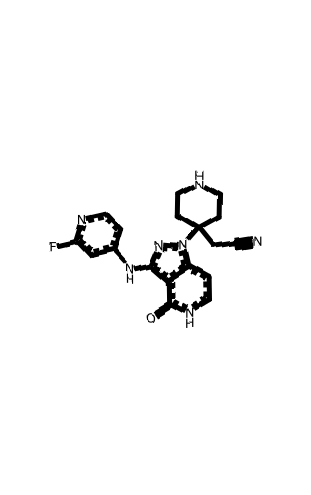 N#CCC1(n2nc(Nc3ccnc(F)c3)c3c(=O)[nH]ccc32)CCNCC1